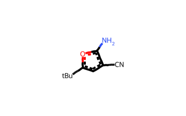 CC(C)(C)c1cc(C#N)c(N)o1